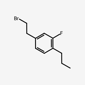 CCCc1ccc(CCBr)cc1F